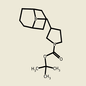 CC(C)(C)OC(=O)N1CCC(CB2C3CCCC2CCC3)C1